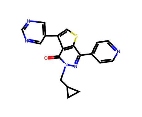 O=c1c2c(-c3cncnc3)csc2c(-c2ccncc2)nn1CC1CC1